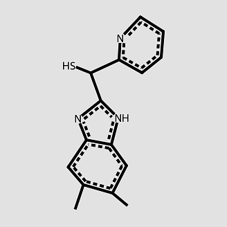 Cc1cc2nc(C(S)c3ccccn3)[nH]c2cc1C